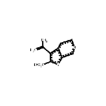 C=C(C)c1c(C(=O)OCC)sc2cnccc12